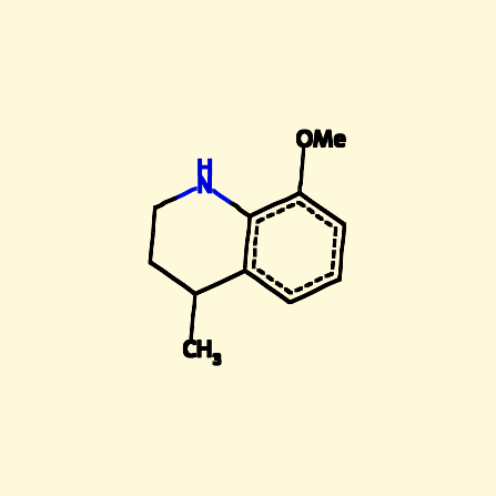 COc1cccc2c1NCCC2C